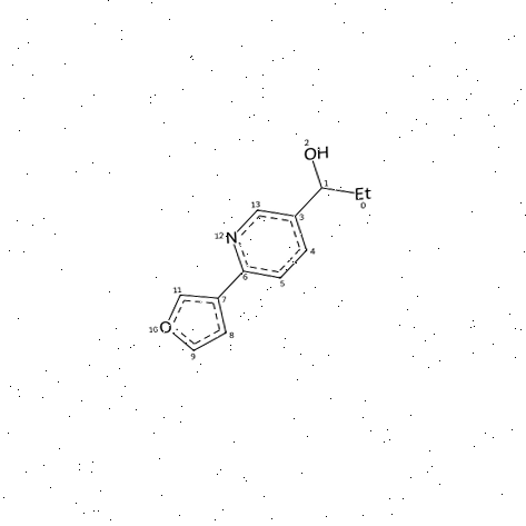 CCC(O)c1ccc(-c2ccoc2)nc1